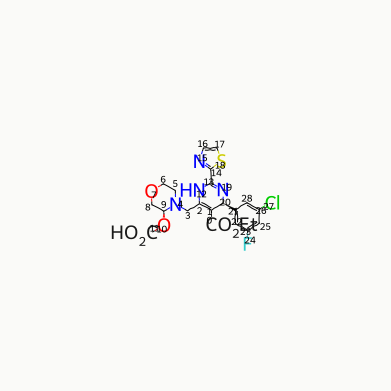 CCOC(=O)C1=C(CN2CCOC[C@@H]2OC(=O)O)NC(c2nccs2)=N[C@H]1c1cc(F)cc(Cl)c1